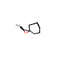 C=C1OC12CCCCC2